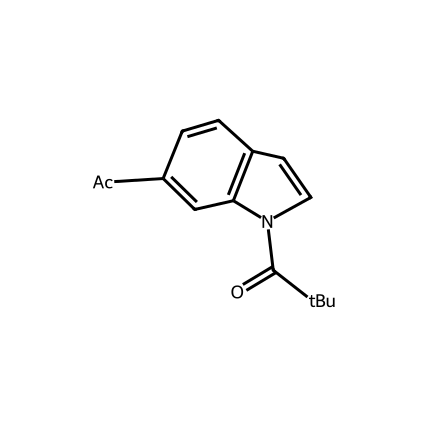 CC(=O)c1ccc2ccn(C(=O)C(C)(C)C)c2c1